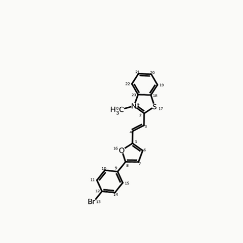 C[n+]1c(/C=C/c2ccc(-c3ccc(Br)cc3)o2)sc2ccccc21